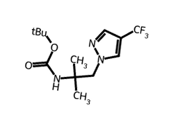 CC(C)(Cn1cc(C(F)(F)F)cn1)NC(=O)OC(C)(C)C